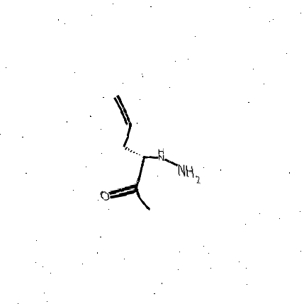 C=CC[C@H](NN)C(C)=O